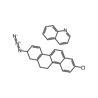 [N-]=[N+]=NC1C=CC2=C(CCc3c2ccc2cc(Cl)ccc32)C1.c1ccc2ncccc2c1